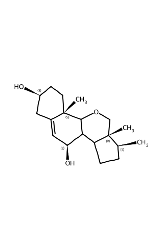 C[C@H]1CCC2C3C(OC[C@@]21C)[C@@]1(C)CC[C@H](O)CC1=C[C@@H]3O